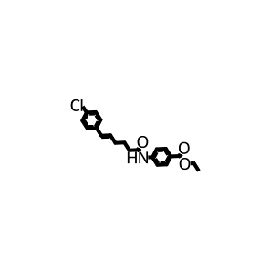 CCOC(=O)c1ccc(NC(=O)CCCC=Cc2ccc(Cl)cc2)cc1